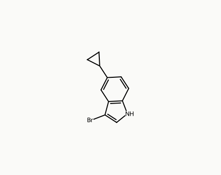 Brc1c[nH]c2ccc(C3CC3)cc12